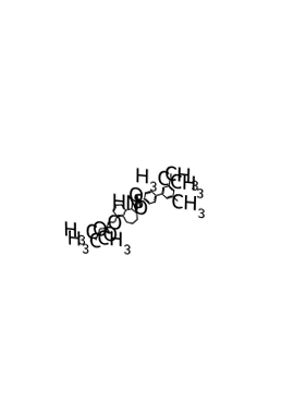 Cc1cc(-c2ccc(S(=O)(=O)NC3CCCCC4=C(OCC(=O)OC(C)(C)C)C=CCC43)cc2)cc(C(C)(C)C)c1